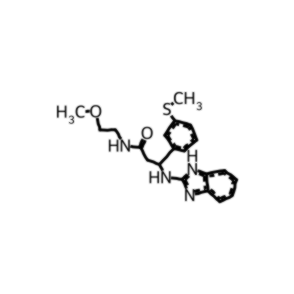 COCCNC(=O)CC(Nc1nc2ccccc2[nH]1)c1cccc(SC)c1